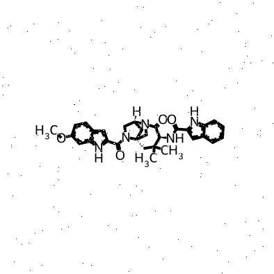 COc1ccc2cc(C(=O)N3C[C@@H]4C[C@@]35CN4C(=O)[C@@H](NC(=O)c3cc4ccccc4[nH]3)C(C)(C)C5)[nH]c2c1